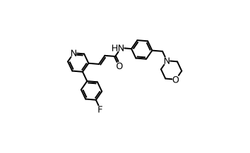 O=C(C=Cc1cnccc1-c1ccc(F)cc1)Nc1ccc(CN2CCOCC2)cc1